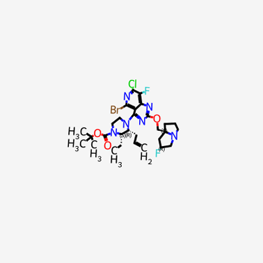 C=CC[C@@H]1[C@H](CC)N(C(=O)OC(C)(C)C)CCN1c1nc(OC[C@@]23CCCN2C[C@H](F)C3)nc2c(F)c(Cl)nc(Br)c12